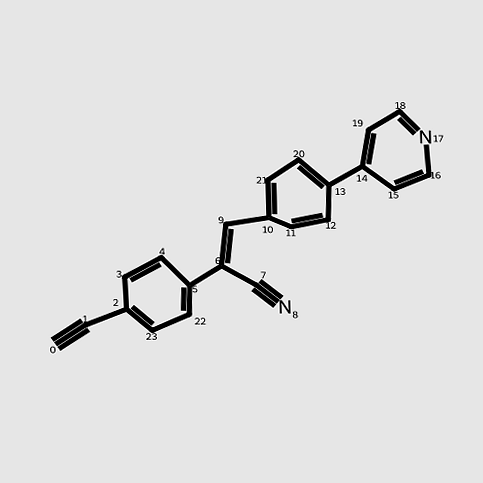 C#Cc1ccc(/C(C#N)=C/c2ccc(-c3ccncc3)cc2)cc1